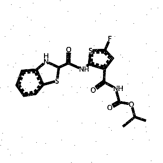 CC(C)OC(=O)NC(=O)c1cc(F)sc1NC(=O)C1Nc2ccccc2S1